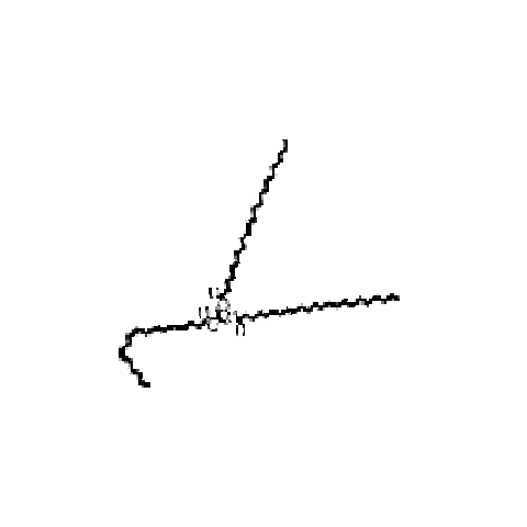 CCCCC/C=C\C/C=C\CCCCCCCC(=O)OC(COC(=O)CCCCCCCCCCCCCCCCCCCCCC)COC(=O)CCCCCCCCCCCCCCCCCCCCCC